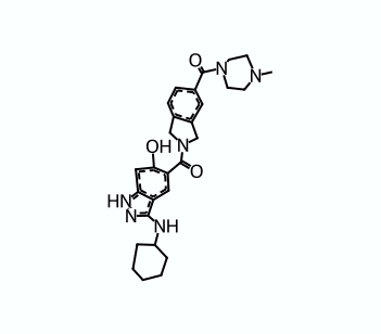 CN1CCN(C(=O)c2ccc3c(c2)CN(C(=O)c2cc4c(NC5CCCCC5)n[nH]c4cc2O)C3)CC1